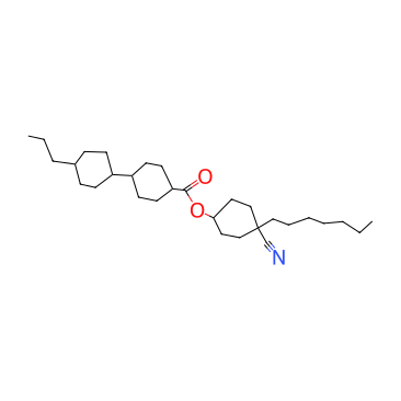 CCCCCCCC1(C#N)CCC(OC(=O)C2CCC(C3CCC(CCC)CC3)CC2)CC1